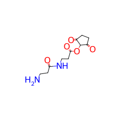 NCCC(=O)NCCC(=O)OC1C(=O)CCC1=O